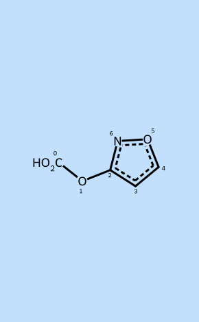 O=C(O)Oc1ccon1